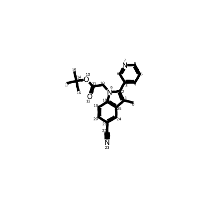 Cc1c(-c2cccnc2)n(CC(=O)OC(C)(C)C)c2ccc(C#N)cc12